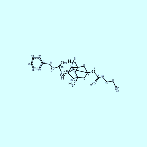 CC12CC3(C)CC(OC(=O)CCCBr)(C1)CC([AsH]C(=O)OCc1ccccc1)(C2)C3